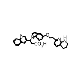 O=C(O)CC(c1cnc2ccccc2c1)n1ccc2cc(OCCc3ccc4c(n3)NCCC4)ccc21